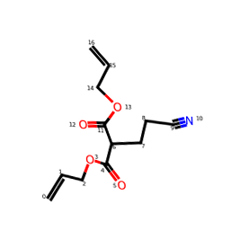 C=CCOC(=O)C(CCC#N)C(=O)OCC=C